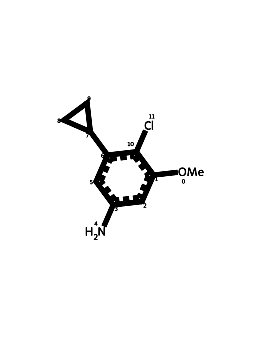 COc1cc(N)cc(C2CC2)c1Cl